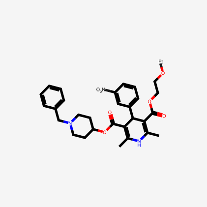 CCOCCOC(=O)C1=C(C)NC(C)=C(C(=O)OC2CCN(Cc3ccccc3)CC2)C1c1cccc([N+](=O)[O-])c1